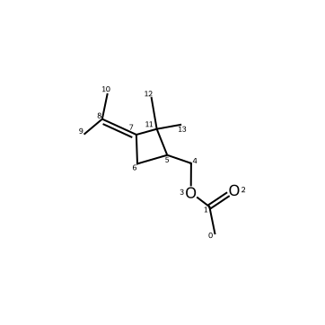 CC(=O)OCC1CC(=C(C)C)C1(C)C